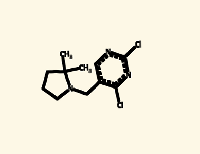 CC1(C)CCCN1Cc1cnc(Cl)nc1Cl